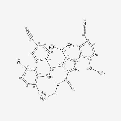 CCOC(=O)c1nn(-c2cc(C#N)ccc2OC)c(C(C)C)c1C(Nc1cc(Cl)ccc1C)c1ccc(C#N)cc1